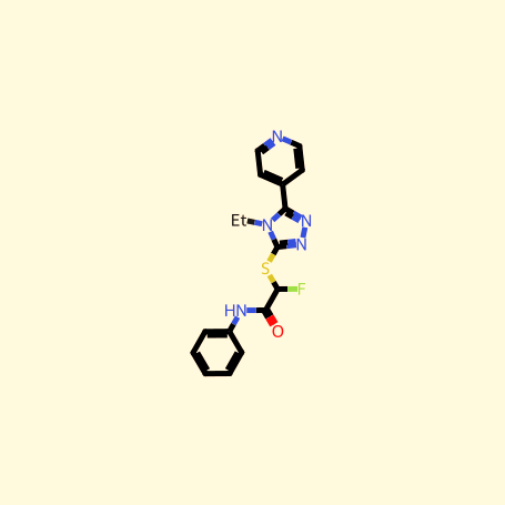 CCn1c(SC(F)C(=O)Nc2ccccc2)nnc1-c1ccncc1